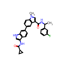 CC(NC(=O)c1cn(C)c2ccc(-c3ccc4c(NC(=O)C5CC5)c[nH]c4c3)cc12)c1cccc(F)c1